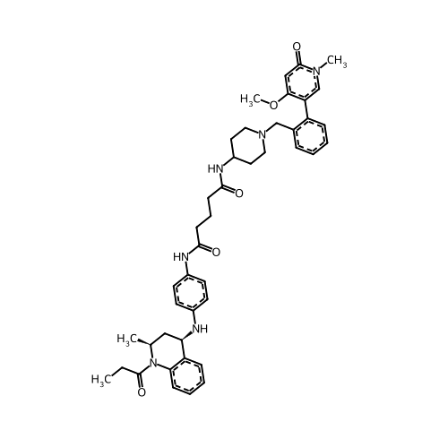 CCC(=O)N1c2ccccc2[C@H](Nc2ccc(NC(=O)CCCC(=O)NC3CCN(Cc4ccccc4-c4cn(C)c(=O)cc4OC)CC3)cc2)C[C@@H]1C